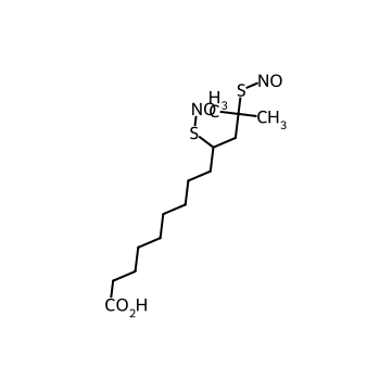 CC(C)(CC(CCCCCCCCC(=O)O)SN=O)SN=O